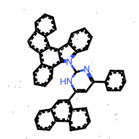 C1=C(c2cc3ccccc3c3ccccc23)NC(n2c3ccccc3c3c4c5ccccc5ccc4c4ccccc4c32)N=C1c1ccccc1